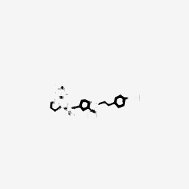 Cc1ccc(CCCOc2ccc(-c3noc([C@@H]4CCCN4C(=O)OC(C)(C)C)n3)cc2C(F)(F)F)cc1